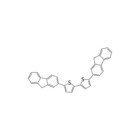 c1ccc2c(c1)Cc1cc(-c3ccc(-c4ccc(-c5ccc6c(c5)Cc5ccccc5-6)s4)s3)ccc1-2